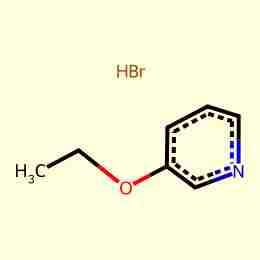 Br.CCOc1cccnc1